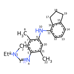 CCN(C)/C=N\c1cc(C)c(Nc2cccc3c2CCC3)cc1C